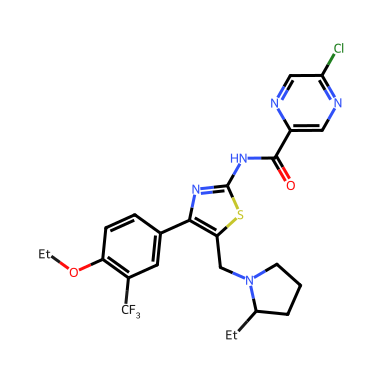 CCOc1ccc(-c2nc(NC(=O)c3cnc(Cl)cn3)sc2CN2CCCC2CC)cc1C(F)(F)F